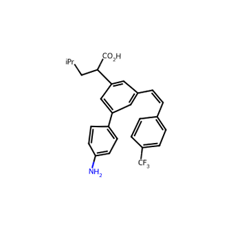 CC(C)CC(C(=O)O)c1cc(/C=C\c2ccc(C(F)(F)F)cc2)cc(-c2ccc(N)cc2)c1